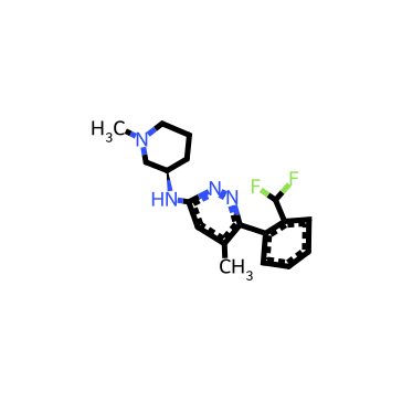 Cc1cc(N[C@@H]2CCCN(C)C2)nnc1-c1ccccc1C(F)F